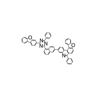 c1ccc(-c2nc(-c3ccc4c(c3)oc3ccccc34)nc(-c3cccc4cc(-c5ccc6c(c5)nc(-c5ccccc5)c5ccc7oc8ccccc8c7c56)ccc34)n2)cc1